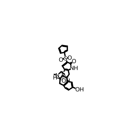 CN1CC[C@@]23Cc4[nH]c(=O)c(S(=O)(=O)c5ccccc5)cc4C[C@]2(O)[C@@H]1Cc1ccc(O)cc13